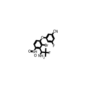 CC(C)(F)C(N)c1c([SH](=O)=O)ccc(Oc2cc(F)cc(C#N)c2)c1Br